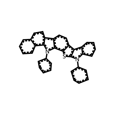 c1ccc(-n2c3ccccc3c3c4ccc5c6ccc7ccccc7c6n(-c6ccccc6)c5c4sc32)cc1